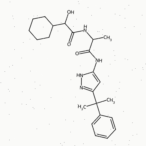 CC(NC(=O)C(O)C1CCCCC1)C(=O)Nc1cc(C(C)(C)c2ccccc2)n[nH]1